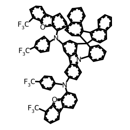 FC(F)(F)c1ccc(N(c2ccc3c(c2)c2cc(N(c4ccc(C(F)(F)F)cc4)c4cccc5c4oc4c(C(F)(F)F)cccc45)cc4c2n3-c2ccccc2C42c3ccc4ccccc4c3-c3c2ccc2ccccc32)c2cccc3c2oc2c(C(F)(F)F)cccc23)cc1